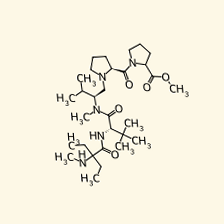 CCC(CC)(NC)C(=O)N[C@H](C(=O)N(C)[C@H](CN1CCC[C@H]1C(=O)N1CCCC1C(=O)OC)C(C)C)C(C)(C)C